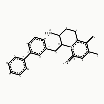 Cc1cc(=O)n2c(c1C)CCC(N)C2Cc1cccc(-c2ccccc2)c1